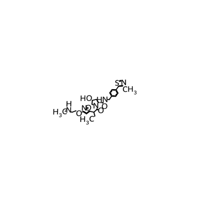 CCC(C(=O)N1C[C@H](O)C[C@H]1C(=O)NCc1ccc(-c2scnc2C)cc1)c1cc(OCCNC)no1